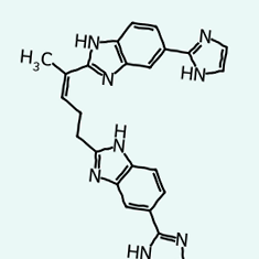 CC(=CCCc1nc2cc(-c3ncc[nH]3)ccc2[nH]1)c1nc2cc(-c3ncc[nH]3)ccc2[nH]1